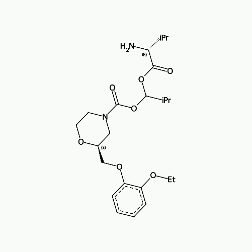 CCOc1ccccc1OC[C@@H]1CN(C(=O)OC(OC(=O)[C@H](N)C(C)C)C(C)C)CCO1